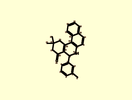 Cc1cccc(C2Nc3ccc4ccccc4c3C3=C2C(=O)CC(C)(C)C3)c1